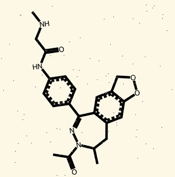 CNCC(=O)Nc1ccc(C2=NN(C(C)=O)C(C)Cc3cc4c(cc32)COO4)cc1